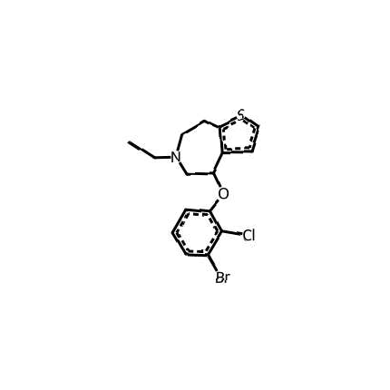 CCN1CCc2sccc2C(Oc2cccc(Br)c2Cl)C1